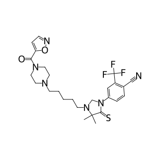 CC1(C)C(=S)N(c2ccc(C#N)c(C(F)(F)F)c2)CN1CCCCCN1CCN(C(=O)c2ccno2)CC1